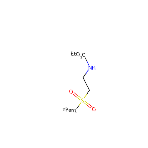 CCCCCS(=O)(=O)CCNC(=O)OCC